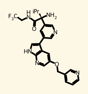 CC(C)[C@](N)(C(=O)NCC(F)(F)F)c1cncc(-c2c[nH]c3ncc(OCc4cccnc4)cc23)c1